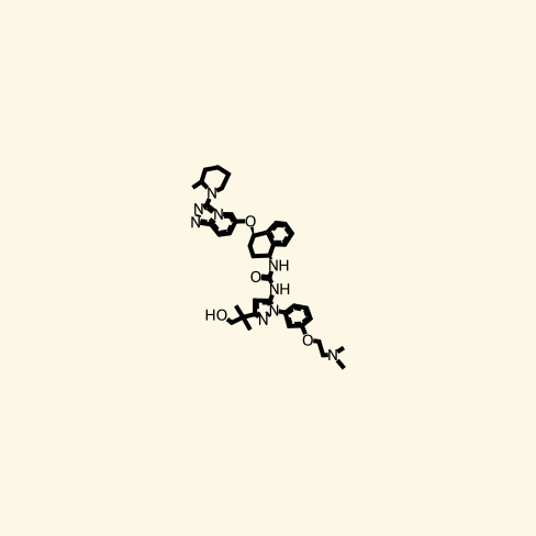 CC1CCCCN1c1nnc2ccc(O[C@@H]3CC[C@H](NC(=O)Nc4cc(C(C)(C)CO)nn4-c4cccc(OCCN(C)C)c4)c4ccccc43)cn12